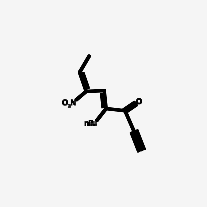 C#CC(=O)/C(=C/C(=C\C)[N+](=O)[O-])CCCC